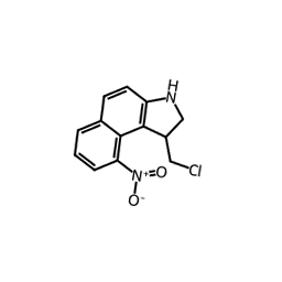 O=[N+]([O-])c1cccc2ccc3c(c12)C(CCl)CN3